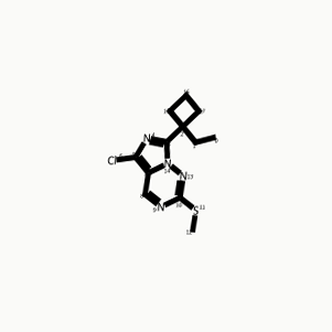 CCC1(c2nc(Cl)c3cnc(SC)nn23)CCC1